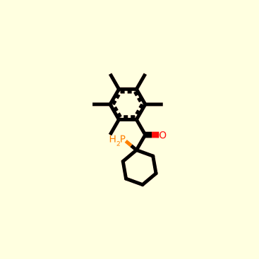 Cc1c(C)c(C)c(C(=O)C2(P)CCCCC2)c(C)c1C